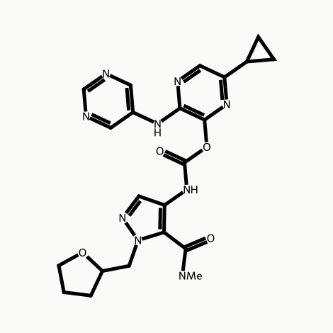 CNC(=O)c1c(NC(=O)Oc2nc(C3CC3)cnc2Nc2cncnc2)cnn1CC1CCCO1